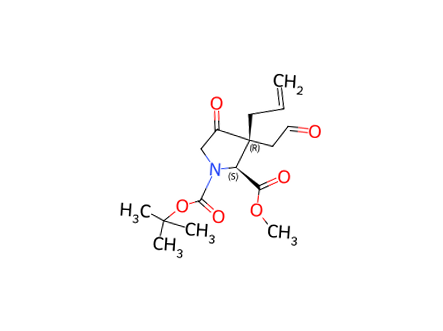 C=CC[C@]1(CC=O)C(=O)CN(C(=O)OC(C)(C)C)[C@@H]1C(=O)OC